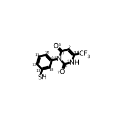 O=c1cc(C(F)(F)F)[nH]c(=O)n1-c1cccc(S)c1